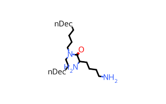 CCCCCCCCCCCCCCN(CCCCCCCCCCCC)C(=O)C(N)CCCCN